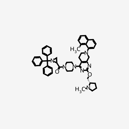 Cc1cccc2cccc(N3CCc4c(nc(OC[C@@H]5CCCN5C)nc4N4CCN(C(=O)C5CN5C(c5ccccc5)(c5ccccc5)c5ccccc5)CC4)C3)c12